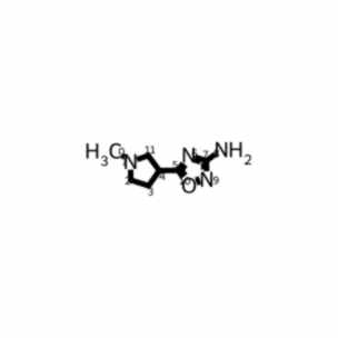 CN1CCC(c2nc(N)no2)C1